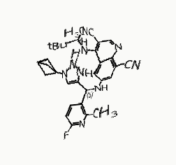 Cc1nc(F)ccc1[C@H](Nc1cc(C#N)c2ncc(C#N)c(N[C@H](C)C(C)(C)C)c2c1)C1=CN(C23CC(C2)C3)NN1